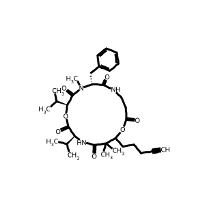 C#CCCCC1OC(=O)CCNC(=O)[C@@H](Cc2ccccc2)N(C)C(=O)[C@H](C(C)C)OC(=O)[C@H](C(C)C)NC(=O)C1(C)C